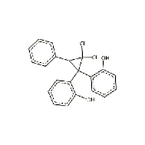 Oc1ccccc1C1(c2ccccc2O)C(c2ccccc2)C1(Cl)Cl